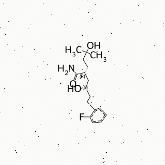 CC(C)(O)CC[C@H](C[C@@H](O)[CH]Cc1ccccc1F)C(N)=O